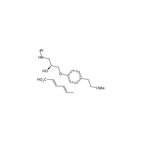 C/C=C/C=C/C(=O)O.COCCc1ccc(OC[C@@H](O)CNC(C)C)cc1